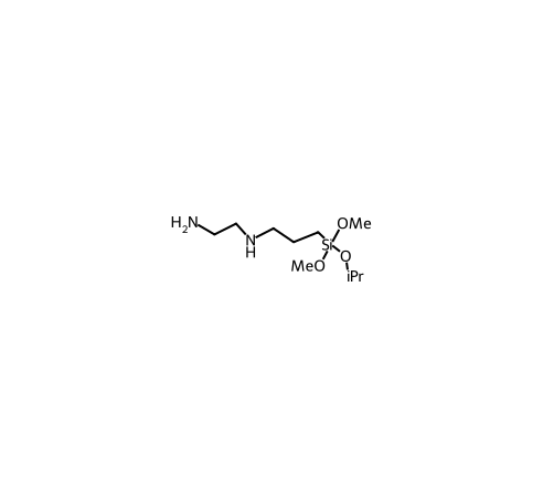 CO[Si](CCCNCCN)(OC)OC(C)C